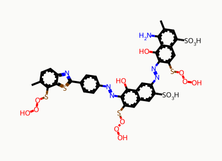 Cc1ccc2nc(-c3ccc(N=Nc4c(SOOO)cc5cc(S(=O)(=O)O)c(N=Nc6c(SOOO)cc7c(S(=O)(=O)O)cc(C)c(N)c7c6O)cc5c4O)cc3)sc2c1SOOO